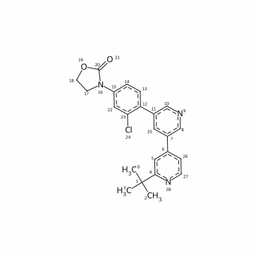 CC(C)(C)c1cc(-c2cncc(-c3ccc(N4CCOC4=O)cc3Cl)c2)ccn1